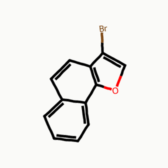 Brc1coc2c1ccc1ccccc12